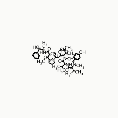 CC[C@H](C)[C@@H]([C@@H](CC(=O)N1CCC[C@H]1[C@H](OC)[C@@H](C)C(=O)N[C@H](C)[C@@H](O)c1ccccc1)OC)N(C)C(=O)[C@@H](NC(=O)[C@H](C(C)C)N(C)Cc1ccc(O)cc1)C(C)C